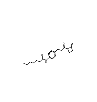 C=C1CCN1C(=O)CCc1ccc(NC(=O)CCOCCC)cc1